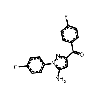 Nc1cc(C(=O)c2ccc(F)cc2)nn1-c1ccc(Cl)cc1